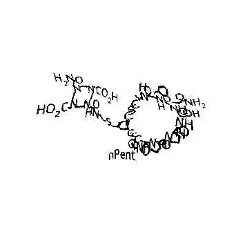 CCCCCC(=O)N[C@H]1CSCc2cc(CSCCNC(=O)CN3CCN(CC(=O)O)CCN(CC(N)=O)CCN(CC(=O)O)CC3)cc(c2)CSC[C@@H](C)NC(=O)[C@H](Cc2ccccc2)NC(=O)[C@H](CCC(N)=O)NC(=O)[C@H]([C@@H](C)O)NC(=O)[C@@H]2CCCN2C(=O)[C@@H]2CCCN2C1=O